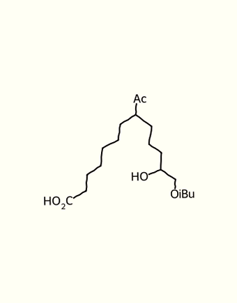 CC(=O)C(CCCCCCC(=O)O)CCCC(O)COCC(C)C